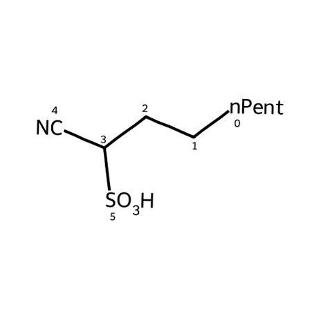 CCCCCCCC(C#N)S(=O)(=O)O